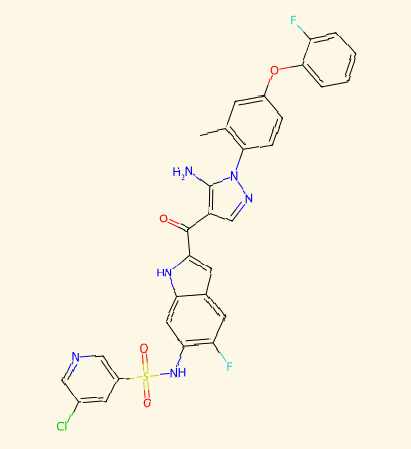 Cc1cc(Oc2ccccc2F)ccc1-n1ncc(C(=O)c2cc3cc(F)c(NS(=O)(=O)c4cncc(Cl)c4)cc3[nH]2)c1N